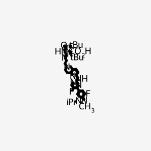 Cc1nc2c(F)cc(-c3nc(Nc4ccc5c(n4)CCN(CCN=C(NC(=O)OC(C)(C)C)N(C(=O)O)C(C)(C)C)C5)ncc3F)cc2n1C(C)C